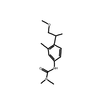 COCC(C)c1ccc(NC(=O)N(C)C)cc1C